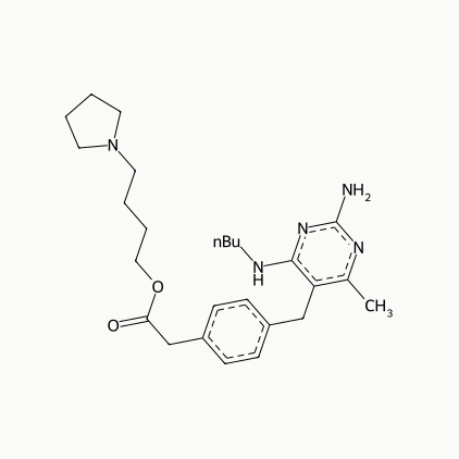 CCCCNc1nc(N)nc(C)c1Cc1ccc(CC(=O)OCCCCN2CCCC2)cc1